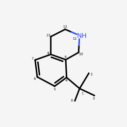 CC(C)(C)c1cccc2c1CNCC2